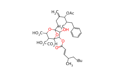 C=C(CCC12OC(C(=O)O)C(C(=O)O)C(C(=O)O)(O1)C(OC(=O)C=CC(C)CC(C)CC)C2O)C(OC(C)=O)C(C)Cc1ccccc1